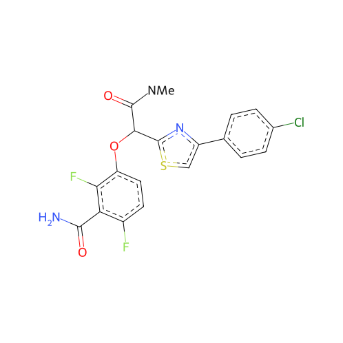 CNC(=O)C(Oc1ccc(F)c(C(N)=O)c1F)c1nc(-c2ccc(Cl)cc2)cs1